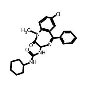 CN1C(=O)C(NC(=O)NC2CCCCC2)N=C(c2ccccc2)c2cc(Cl)ccc21